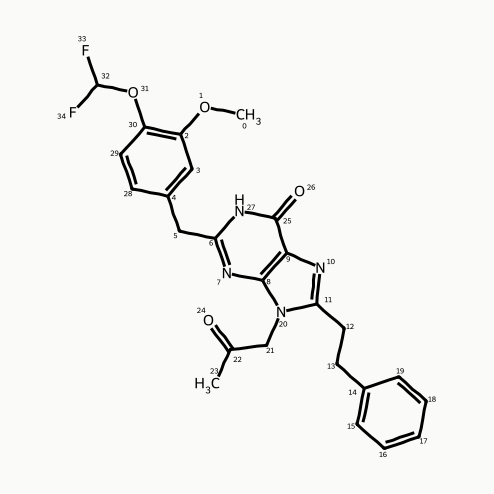 COc1cc(Cc2nc3c(nc(CCc4ccccc4)n3CC(C)=O)c(=O)[nH]2)ccc1OC(F)F